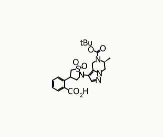 C[C@H]1Cn2ncc(N3CC(c4ccccc4C(=O)O)CS3(=O)=O)c2CN1C(=O)OC(C)(C)C